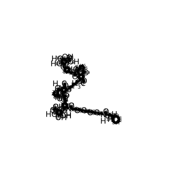 COc1cc2c(cc1OCCCCCOc1cc3c(cc1OC)C(=O)N1CCC[C@H]1[C@H](O)N3C(=O)OCc1ccc(O[C@@H]3O[C@H](C(=O)O)[C@@H](O)[C@H](O)[C@H]3O)c(NC(=O)CCOCCOCCOCCOCCNC(=O)OCC3[C@H]4CCC#CCC[C@@H]34)c1)N(C(=O)OCc1ccc(O[C@@H]3O[C@H](C(=O)O)[C@@H](O)[C@H](O)[C@H]3O)cc1)[C@@H](O)[C@@H]1CCCN1C2=O